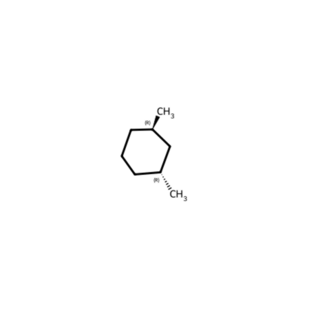 C[C@@H]1CCC[C@@H](C)C1